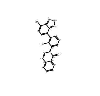 Cc1c(-c2ccc(Br)c3nsnc23)cccc1-n1cnc2ccccc2c1=O